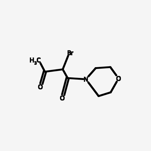 CC(=O)C(Br)C(=O)N1CCOCC1